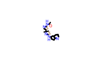 CC(=O)Nc1ncc(C2(C)CSC(Nc3ccc4ncccc4c3)=N2)s1